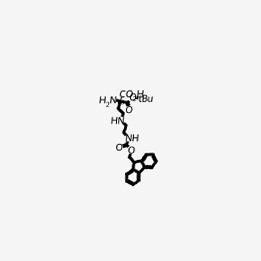 CC(C)(C)OC(=O)[C@](N)(CCNCCNC(=O)OCC1c2ccccc2-c2ccccc21)C(=O)O